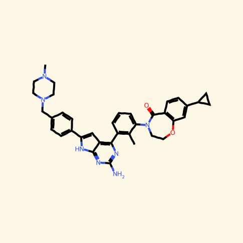 Cc1c(-c2nc(N)nc3[nH]c(-c4ccc(CN5CCN(C)CC5)cc4)cc23)cccc1N1CCOc2cc(C3CC3)ccc2C1=O